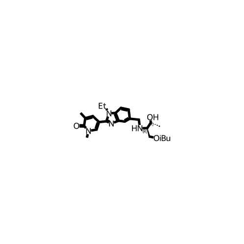 CCn1c(-c2cc(C)c(=O)n(C)c2)nc2cc(CN[C@H](COCC(C)C)[C@@H](C)O)ccc21